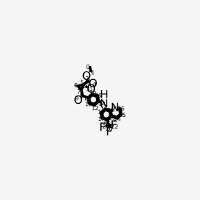 CCOC(=O)C1CC1C(=O)c1ccc(Nc2ccc(C(F)(F)F)c3cccnc23)cc1OC